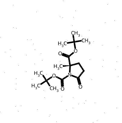 CC(C)(C)OC(=O)N1C(=O)CC[C@@]1(C)C(=O)OC(C)(C)C